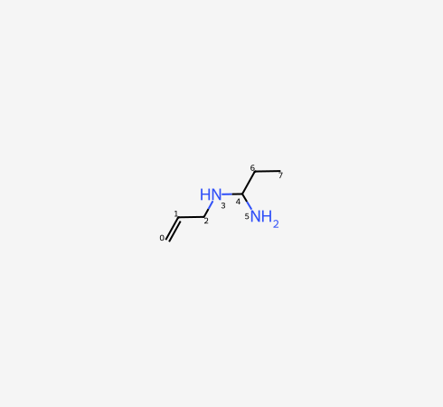 C=CCNC(N)CC